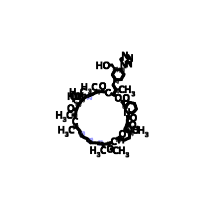 CO[C@H]1C[C@@H]2CC[C@@H](C)[C@@](O)(O2)C(=O)C(=O)N2CCCC[C@H]2C(=O)OC([C@H](C)C[C@@H]2CC[C@H](n3cnnn3)[C@H](CO)C2)CC(=O)[C@H](C)/C=C(\C)[C@@H](O)[C@@H](CO)C(=O)[C@H](C)C[C@H](C)/C=C/C=C/C=C/1C